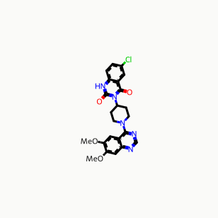 COc1cc2ncnc(N3CCC(n4c(=O)[nH]c5ccc(Cl)cc5c4=O)CC3)c2cc1OC